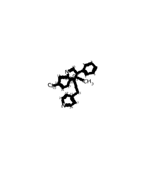 CS1=C2C(c3ccccc3)C=NC3=CC(Cl)=CCC32CC1Cc1ccncc1